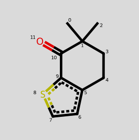 CC1(C)CCc2ccsc2C1=O